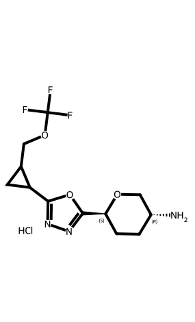 Cl.N[C@@H]1CC[C@@H](c2nnc(C3CC3COC(F)(F)F)o2)OC1